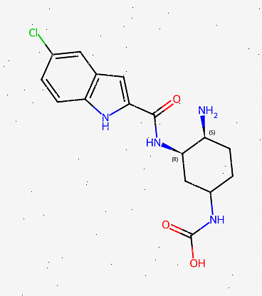 N[C@H]1CCC(NC(=O)O)C[C@H]1NC(=O)c1cc2cc(Cl)ccc2[nH]1